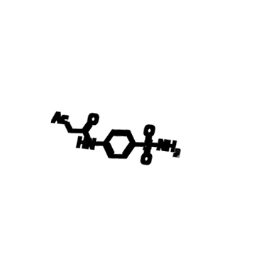 CC(=O)CC(=O)Nc1ccc(S(N)(=O)=O)cc1